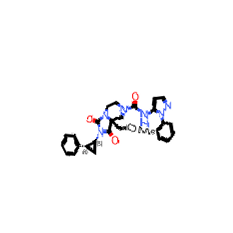 COCC12CN(C(=O)Nc3ccnn3-c3ccccc3)CCN1C(=O)N([C@H]1C[C@@H]1c1ccccc1)C2=O